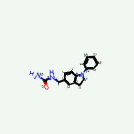 NC(=O)NCc1ccc2c(c1)CCN2c1ccccc1